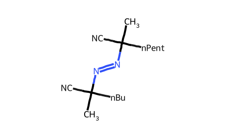 CCCCCC(C)(C#N)N=NC(C)(C#N)CCCC